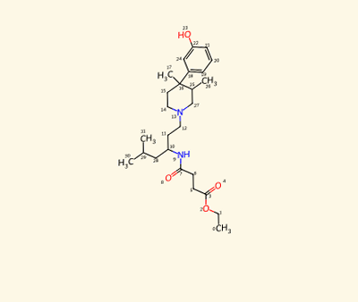 CCOC(=O)CCC(=O)NC(CCN1CCC(C)(c2cccc(O)c2)C(C)C1)CC(C)C